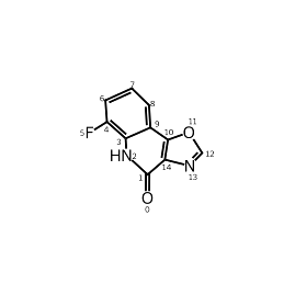 O=c1[nH]c2c(F)cccc2c2ocnc12